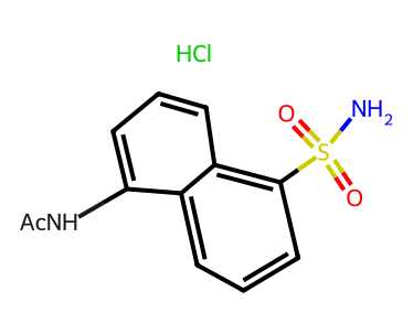 CC(=O)Nc1cccc2c(S(N)(=O)=O)cccc12.Cl